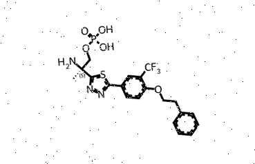 C[C@](N)(COP(=O)(O)O)c1nnc(-c2ccc(OCCc3ccccc3)c(C(F)(F)F)c2)s1